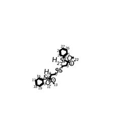 COC(CCSSCCC(OC)(OC)[SiH2]c1ccccc1)(OC)[SiH2]c1ccccc1